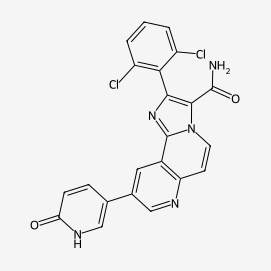 NC(=O)c1c(-c2c(Cl)cccc2Cl)nc2c3cc(-c4ccc(=O)[nH]c4)cnc3ccn12